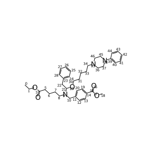 CCOC(=O)CCCCN(Cc1ccc(C(=O)OC)cc1)C(Cc1ccccc1)OCCCCCN1CCN(c2ccccc2)CC1